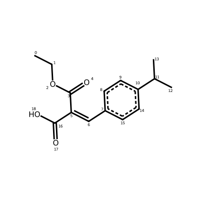 CCOC(=O)C(=Cc1ccc(C(C)C)cc1)C(=O)O